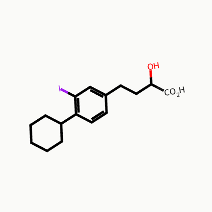 O=C(O)C(O)CCc1ccc(C2CCCCC2)c(I)c1